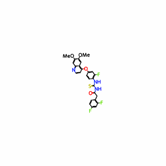 COc1cc2nccc(Oc3ccc(NC(=S)NC(=O)Cc4ccc(F)cc4F)c(F)c3)c2cc1OC